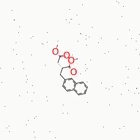 COC(=O)C[C@@H](Cc1ccc2ccccc2c1)C(=O)OC